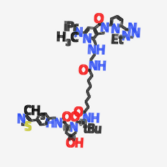 CCn1cnnc1-c1cccc(N2Cc3c(cc(N(C)C(C)C)nc3CNCCNC(=O)CCCCCCCC(=O)N[C@H](C(=O)N3C[C@H](O)C[C@H]3C(=O)NCc3ccc(-c4scnc4C)cc3)C(C)(C)C)C2=O)n1